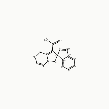 O=C(O)C1=C2COC=CN2CC12C=Nc1ccccc12